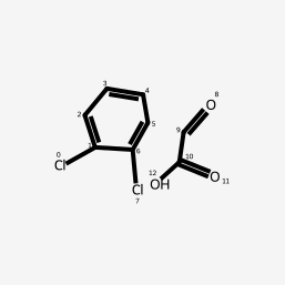 Clc1ccccc1Cl.O=CC(=O)O